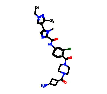 Cn1c(-c2cn(CC#N)nc2C(F)(F)F)cnc1C(=O)Nc1ccc(C(=O)N2CCN(C(=O)[C@H]3C[C@H](N)C3)CC2)c(Cl)c1